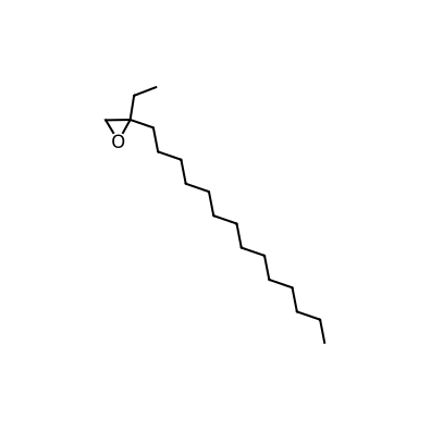 CCCCCCCCCCCCCCC1(CC)CO1